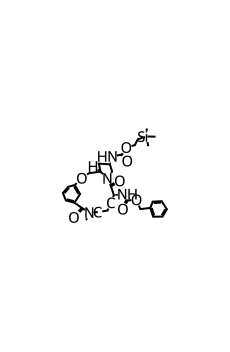 CN1CCC[C@H](NC(=O)OCc2ccccc2)C(=O)N2C[C@@H](NC(=O)OCC[Si](C)(C)C)C[C@H]2COc2cccc(c2)C1=O